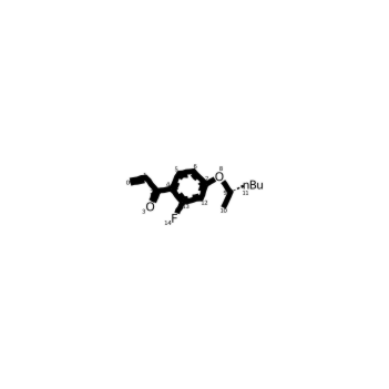 C=CC(=O)c1ccc(O[C@@H](C)CCCC)cc1F